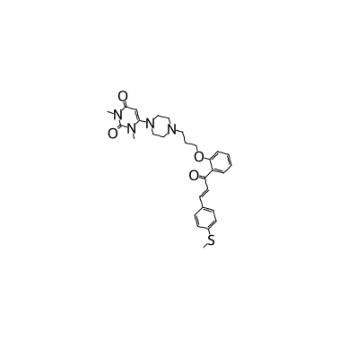 CSc1ccc(/C=C/C(=O)c2ccccc2OCCCN2CCN(c3cc(=O)n(C)c(=O)n3C)CC2)cc1